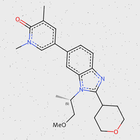 COC[C@H](C)n1c(C2CCOCC2)nc2ccc(-c3cc(C)c(=O)n(C)c3)cc21